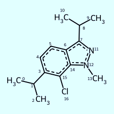 CC(C)c1ccc2c(C(C)C)nn(C)c2c1Cl